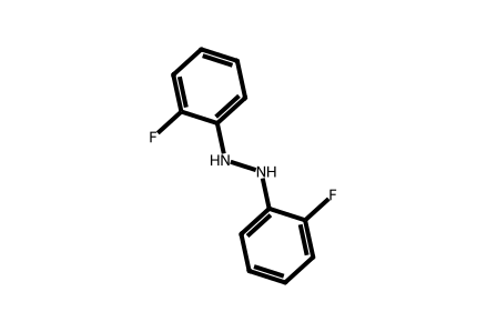 Fc1ccccc1NNc1ccccc1F